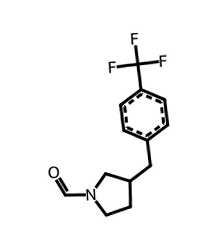 O=CN1CCC(Cc2ccc(C(F)(F)F)cc2)C1